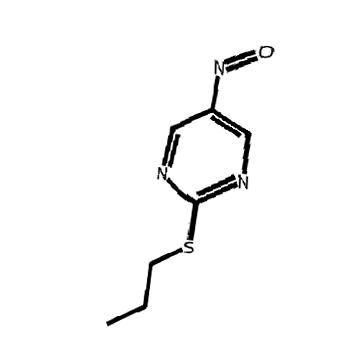 CCCSc1ncc(N=O)cn1